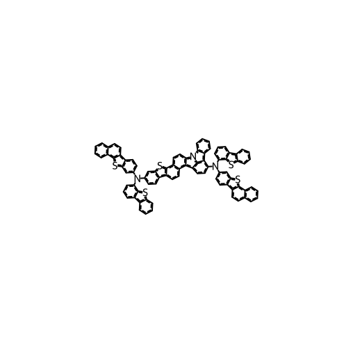 c1ccc2c(c1)ccc1c3ccc(N(c4ccc5c(c4)sc4c5ccc5c4ccc4c5c5ccc(N(c6ccc7c(c6)sc6c8ccccc8ccc76)c6cccc7c6sc6ccccc67)c6c7ccccc7n4c56)c4cccc5c4sc4ccccc45)cc3sc21